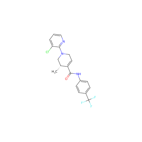 C[C@@H]1CN(c2ncccc2Cl)CC=C1C(=O)Nc1ccc(C(F)(F)F)cc1